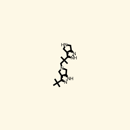 CC(C)(C)c1n[nH]c2c1CN(CC(C)(C)c1[nH]nc3c1CNC3)C2